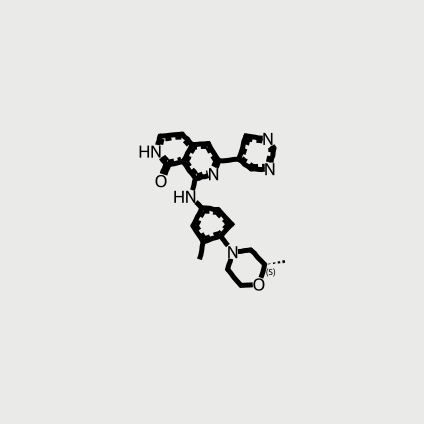 Cc1cc(Nc2nc(-c3cncnc3)cc3cc[nH]c(=O)c23)ccc1N1CCO[C@@H](C)C1